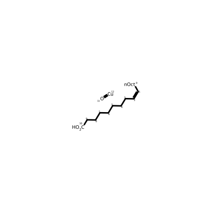 CCCCCCCC/C=C\CCCCCCCC(=O)O.[O]=[Cu]